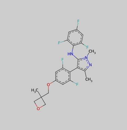 Cc1nn(C)c(Nc2c(F)cc(F)cc2F)c1-c1c(F)cc(OCC2(C)COC2)cc1F